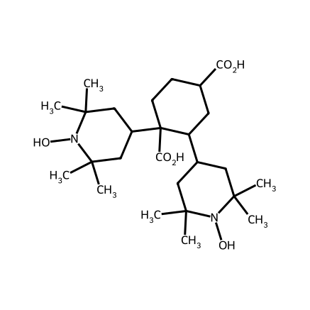 CC1(C)CC(C2CC(C(=O)O)CCC2(C(=O)O)C2CC(C)(C)N(O)C(C)(C)C2)CC(C)(C)N1O